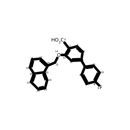 O=C(O)c1ccc(-c2ccc(F)cc2)cc1OCc1cccc2ccccc12